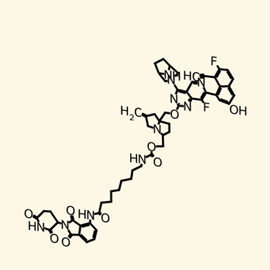 C#Cc1c(F)ccc2cc(O)cc(-c3ncc4c(N5CC6CCC(C5)N6)nc(OCC56CCC(COC(=O)NCCCCCCCCC(=O)Nc7cccc8c7C(=O)N(C7CCC(=O)NC7=O)C8=O)N5CC(=C)C6)nc4c3F)c12